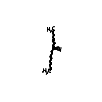 CCCCCC=CCCC(C#N)CCC=CCCCCC